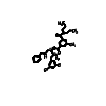 CCCN(CCC)C(=O)c1cc(C)cc(C(=O)O[C@H](CNCc2ccccc2)[C@@H](N)Cc2cc(Cl)cc(Cl)c2)c1